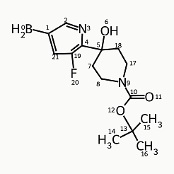 Bc1cnc(C2(O)CCN(C(=O)OC(C)(C)C)CC2)c(F)c1